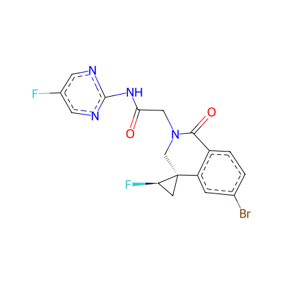 O=C(CN1C[C@@]2(C[C@H]2F)c2cc(Br)ccc2C1=O)Nc1ncc(F)cn1